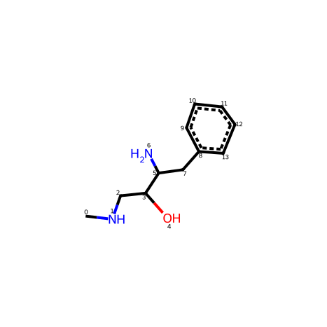 CNCC(O)C(N)Cc1ccccc1